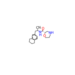 N#CC(Cc1ccc2c(c1)CCCC2)NC(=O)[C@@H]1CNCCCO1